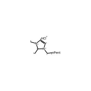 CCCCCCN1C=CN(C)C1C.Cl